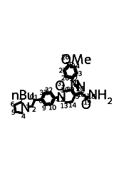 CCCCC(CN1CCCC1)c1ccc(N2CCc3c(C(N)=O)nn(-c4ccc(OC)cc4)c3C2=O)cc1